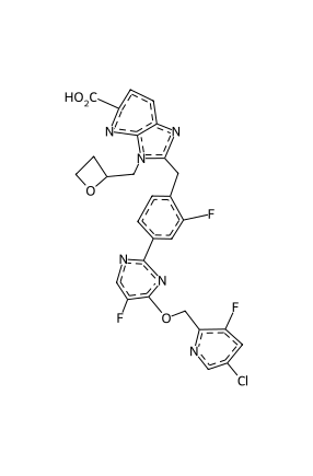 O=C(O)c1ccc2nc(Cc3ccc(-c4ncc(F)c(OCc5ncc(Cl)cc5F)n4)cc3F)n(CC3CCO3)c2n1